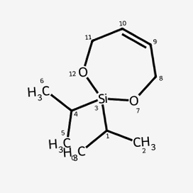 CC(C)[Si]1(C(C)C)OCC=CCO1